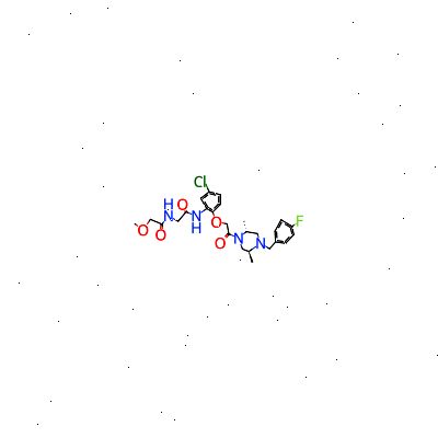 COCC(=O)NCC(=O)Nc1cc(Cl)ccc1OCC(=O)N1C[C@H](C)N(Cc2ccc(F)cc2)C[C@H]1C